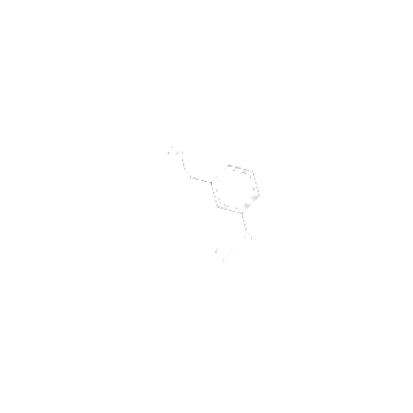 CCCCOc1cccc(OC(F)(F)F)c1